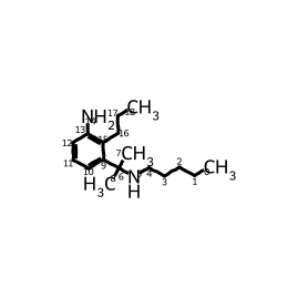 CCCCCNC(C)(C)c1cccc(N)c1CCC